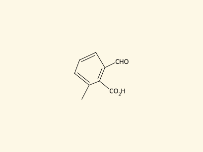 Cc1cccc(C=O)c1C(=O)O